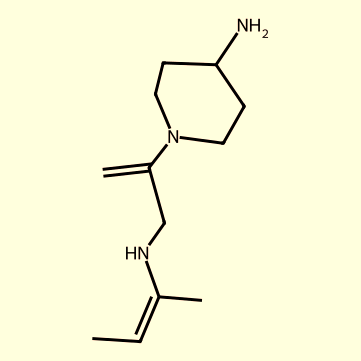 C=C(CN/C(C)=C\C)N1CCC(N)CC1